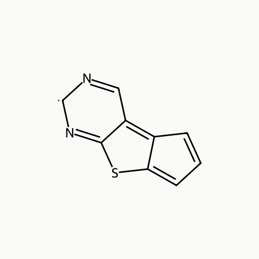 [CH]1N=Cc2c3c(sc2=N1)=CC=C3